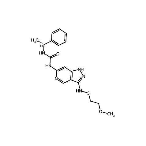 COCCSNc1n[nH]c2cc(NC(=O)N[C@H](C)c3ccccc3)ncc12